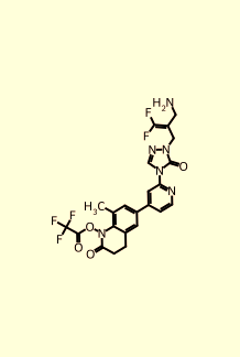 Cc1cc(-c2ccnc(-n3cnn(CC(CN)=C(F)F)c3=O)c2)cc2c1N(OC(=O)C(F)(F)F)C(=O)CC2